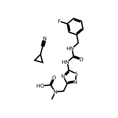 CN(Cc1nsc(NC(=O)NCc2cccc(F)c2)n1)C(=O)O.N#CC1CC1